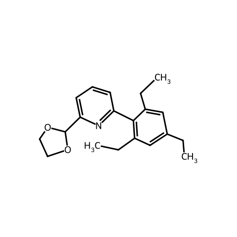 CCc1cc(CC)c(-c2cccc(C3OCCO3)n2)c(CC)c1